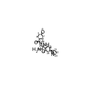 COc1ccc2c(c1)CN(CC(N)(C(N)=O)c1ccc(-n3cccn3)cc1)C2=O